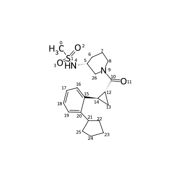 CS(=O)(=O)N[C@@H]1CCCN(C(=O)[C@@H]2C[C@H]2c2ccccc2C2CCCC2)C1